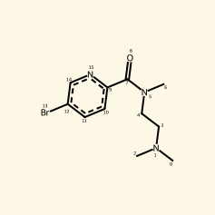 CN(C)CCN(C)C(=O)c1ccc(Br)cn1